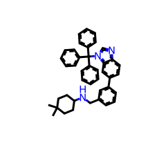 CC1(C)CCC(NCc2cccc(-c3ccc4ncn(C(c5ccccc5)(c5ccccc5)c5ccccc5)c4c3)c2)CC1